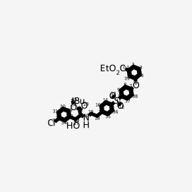 CCOC(=O)c1cccc(Oc2ccc(S(=O)(=O)c3ccc(CCNC(C(=O)OC(C)(C)C)[C@H](O)c4cccc(Cl)c4)cc3)cc2)c1